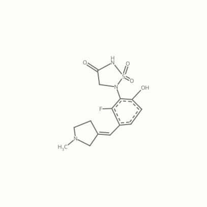 CN1CC/C(=C\c2ccc(O)c(N3CC(=O)NS3(=O)=O)c2F)C1